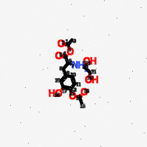 CC(=O)OC(=O)[C@@H](N)Cc1ccc(OC(C)=O)c(O)c1.OCCO